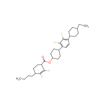 CCCCC1CCC(C(=O)OC2CCC(c3ccc(C4CCC(CC)CC4)c(F)c3F)CC2)C(F)=C1F